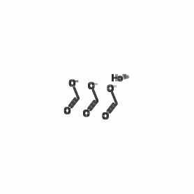 O=C[O-].O=C[O-].O=C[O-].[Ho+3]